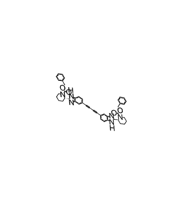 O=C(OCc1ccccc1)N1CCCC[C@H]1c1nc2cc(C#CC#Cc3ccc4[nH]c([C@@H]5CCCCN5C(=O)OCc5ccccc5)nc4c3)ccc2[nH]1